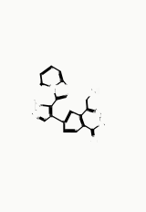 Cn1ncc(-c2ccc3c(=O)[nH]nc(CN)c3c2)c1-c1csc2cccc(=O)n12